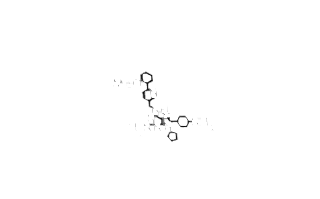 COc1ccccc1-c1ccc(CNc2nc(N)nc3c2nc(C2CCC(N)CC2)n3C2CCCC2)cn1